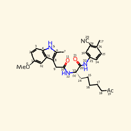 COc1ccc2[nH]c(C)c(CC(=O)N[C@@H](CCCCCC(C)=O)C(=O)Nc3ccc(C)c(C#N)c3)c2c1